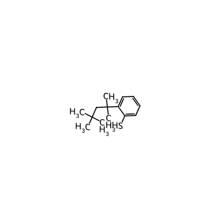 CC(C)(C)CC(C)(C)c1ccccc1S